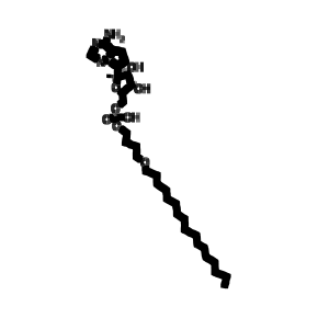 CCCCCCCCCCCCCCCCCOCCCCOP(=O)(O)OCC1O[C@@](C)(c2ccc3c(N)ncnn23)[C@H](O)[C@@H]1O